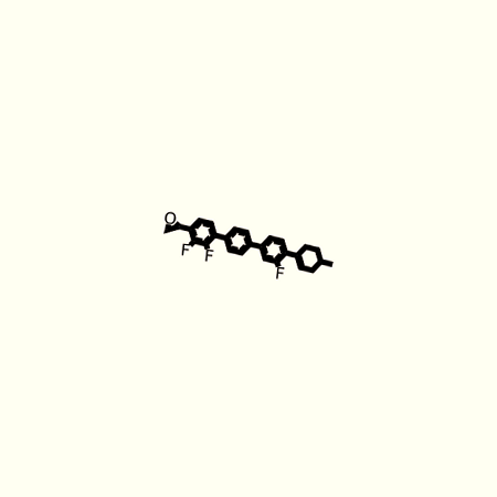 CC1CC=C(c2ccc(-c3ccc(-c4ccc(C5CO5)c(F)c4F)cc3)cc2F)CC1